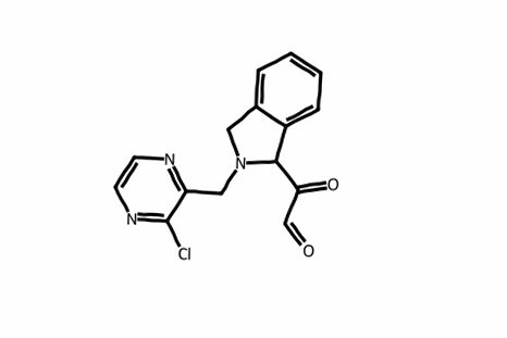 O=CC(=O)C1c2ccccc2CN1Cc1nccnc1Cl